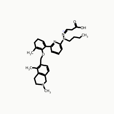 CCCCN(/N=C\CC(=O)O)c1cccc(C2=CCCC(C)=C2OCc2ccc3c(c2C)CCN(C)C3)n1